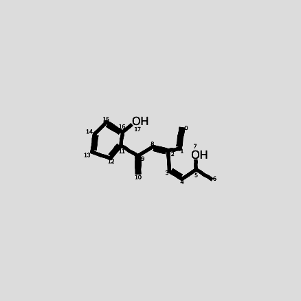 C=CC(/C=C\C(C)O)=C/C(=C)c1ccccc1O